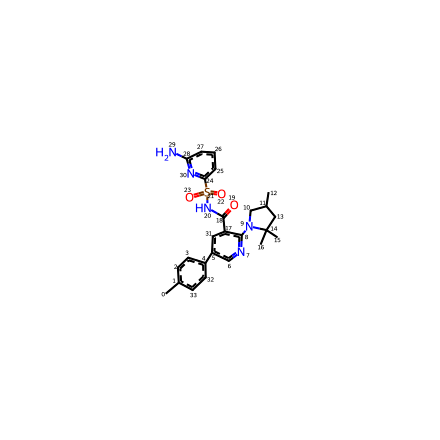 Cc1ccc(-c2cnc(N3CC(C)CC3(C)C)c(C(=O)NS(=O)(=O)c3cccc(N)n3)c2)cc1